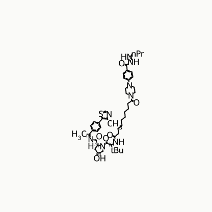 CCCNNC(=O)c1ccc(N2CCN(C(=O)CCCCCCCCC(=O)N[C@H](C(=O)N3C[C@H](O)C[C@H]3C(=O)N[C@@H](C)c3ccc(-c4scnc4C)cc3)C(C)(C)C)CC2)cc1